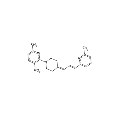 Cc1cccc(C=CC=C2CCN(c3nc(C)ccc3[N+](=O)[O-])CC2)n1